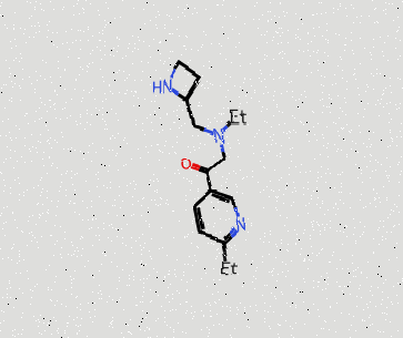 CCc1ccc(C(=O)CN(CC)CC2CCN2)cn1